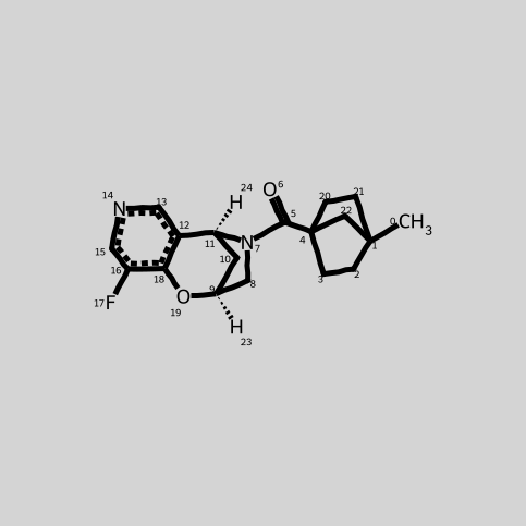 CC12CCC(C(=O)N3C[C@@H]4C[C@H]3c3cncc(F)c3O4)(CC1)C2